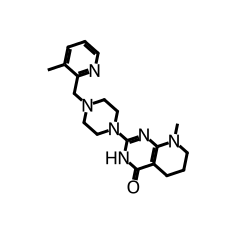 Cc1cccnc1CN1CCN(c2nc3c(c(=O)[nH]2)CCCN3C)CC1